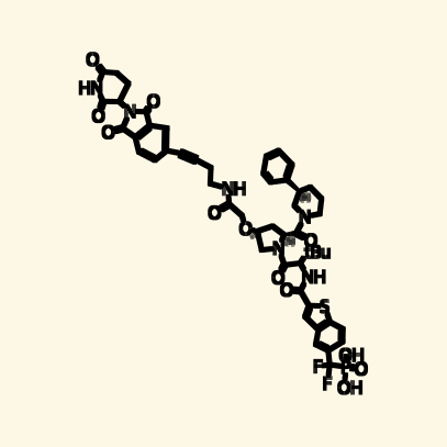 CC(C)(C)C(NC(=O)c1cc2cc(C(F)(F)P(=O)(O)O)ccc2s1)C(=O)N1C[C@@H](OCC(=O)NCCC#Cc2ccc3c(c2)C(=O)N(C2CCC(=O)NC2=O)C3=O)C[C@H]1C(=O)N1CCC[C@H](c2ccccc2)C1